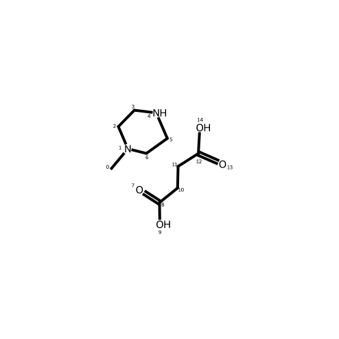 CN1CCNCC1.O=C(O)CCC(=O)O